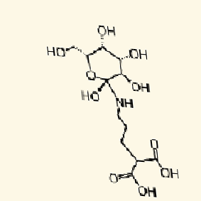 O=C(O)C(CCCN[C@]1(O)O[C@H](CO)[C@H](O)[C@H](O)[C@H]1O)C(=O)O